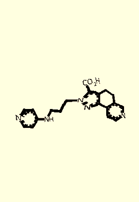 O=C(O)c1c2c(nn1CCCNc1ccncc1)-c1ccncc1CC2